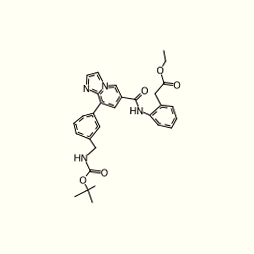 CCOC(=O)Cc1ccccc1NC(=O)c1cc(-c2cccc(CNC(=O)OC(C)(C)C)c2)c2nccn2c1